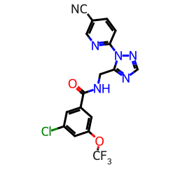 N#Cc1ccc(-n2ncnc2CNC(=O)c2cc(Cl)cc(OC(F)(F)F)c2)nc1